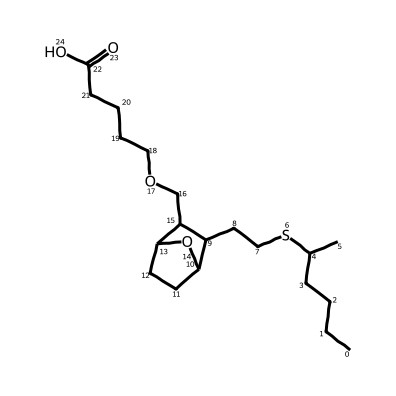 CCCCC(C)SCCC1C2CCC(O2)C1COCCCCC(=O)O